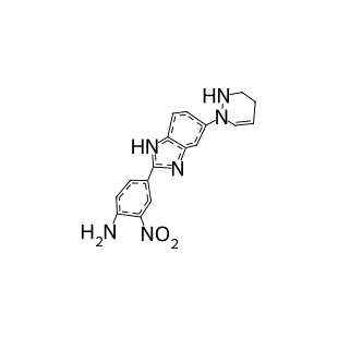 Nc1ccc(-c2nc3cc(N4C=CCCN4)ccc3[nH]2)cc1[N+](=O)[O-]